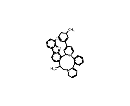 Cc1cccc2c1oc1c3c(ccc12)C(C)CN1CC=CC=C1c1ccccc1N1C=CC(C2=CC(C)CC=C2)=CC31